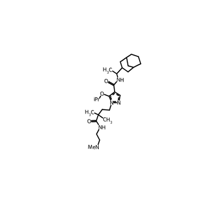 CNCCNC(=O)C(C)(C)CCn1ncc(C(=O)NC(C)C2CC3CCCC(C3)C2)c1OC(C)C